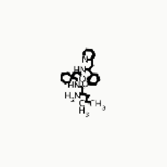 CC(C)CC(N)C(=O)NCC1(CC(=O)NC(Cc2ccccn2)c2ccccc2)CCCCC1